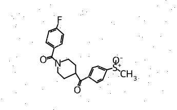 C[S+]([O-])c1ccc(C(=O)C2CCN(C(=O)c3ccc(F)cc3)CC2)cc1